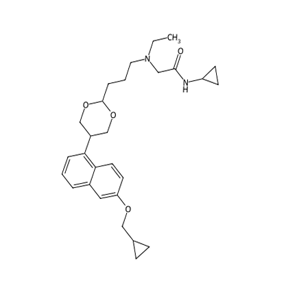 CCN(CCCC1OCC(c2cccc3cc(OCC4CC4)ccc23)CO1)CC(=O)NC1CC1